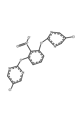 O=[N+]([O-])c1c(Oc2ncc(Cl)cn2)cccc1Oc1ncc(Cl)cn1